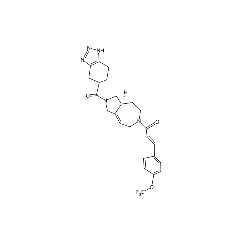 O=C(/C=C/c1ccc(OC(F)(F)F)cc1)N1CC=C2CN(C(=O)C3CCc4[nH]nnc4C3)C[C@H]2CC1